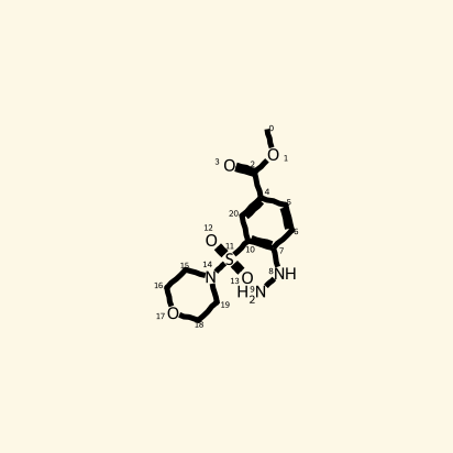 COC(=O)c1ccc(NN)c(S(=O)(=O)N2CCOCC2)c1